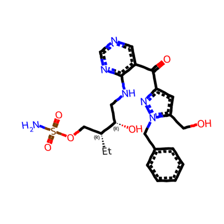 CC[C@H](COS(N)(=O)=O)[C@@H](O)CNc1ncncc1C(=O)c1cc(CO)n(Cc2ccccc2)n1